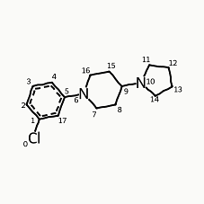 Clc1cccc(N2CCC(N3CCCC3)CC2)c1